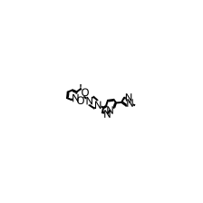 C[C@@H](OC(=O)N1CCN(c2cnn3cc(-c4cnn(C)c4)ccc23)CC1)c1ccccn1